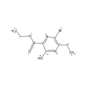 CCOC(=O)c1nc(Br)c(CC)nc1O